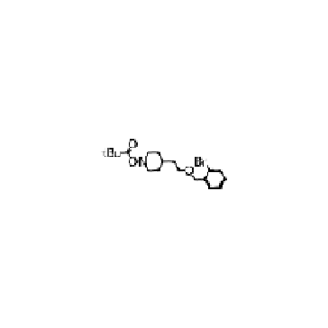 CC(C)(C)C(=O)ON1CCC(CCOCc2ccccc2Br)CC1